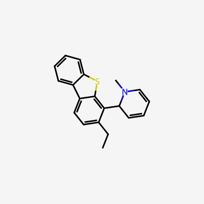 CCc1ccc2c(sc3ccccc32)c1C1C=CC=CN1C